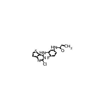 C=CC(=O)Nc1ccc(F)c(Nc2nc(Cl)nc3ccsc23)c1